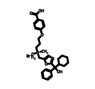 C[N+](C)(CCCOc1ccc(C(=O)O)cc1)Cc1cnc(C(O)(c2ccccc2)C2CCCCC2)o1.[Br-]